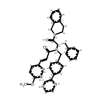 COc1ccc(/C=C/C(=O)N(Cc2ccc(-c3cnccn3)cc2)[C@@H](Cc2ccccc2)C(=O)N2CCc3ccccc3C2)nn1